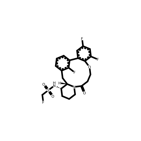 O=C1CCOc2c(F)cc(F)cc2-c2cccc(c2F)C[C@H]2[C@@H](NS(=O)(=O)CF)CCCN12